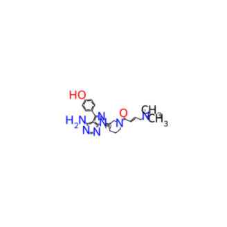 CN(C)CC=CC(=O)N1CCC[C@@H](n2nc(-c3ccc(O)cc3)c3c(N)ncnc32)C1